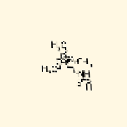 CCO[Si](CCCNC(=S)S)(OCC)OCC